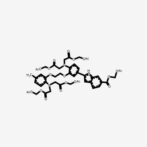 CC(=O)OCOC(=O)CN(CC(=O)OCOC(C)=O)c1ccc(C)cc1OCCOc1cc(-c2cc3ccc(C(=O)OCOC(C)=O)cc3[nH]2)ccc1N(CC(=O)OCOC(C)=O)CC(=O)OCOC(C)=O